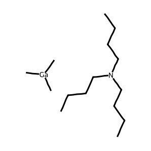 CCCCN(CCCC)CCCC.[CH3][Ga]([CH3])[CH3]